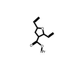 C=CC1CC(C(=O)OCCC)C(C=C)O1